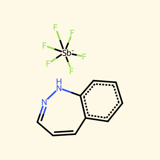 C1=Cc2ccccc2NN=C1.[F][Sb-]([F])([F])([F])([F])[F]